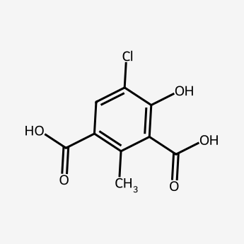 Cc1c(C(=O)O)cc(Cl)c(O)c1C(=O)O